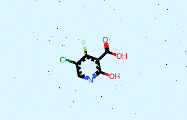 O=C(O)c1c(O)ncc(Cl)c1F